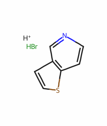 Br.[H+].c1cc2sccc2cn1